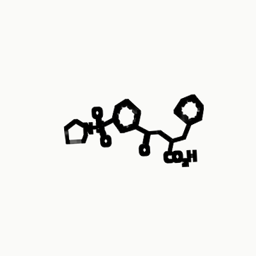 O=C(CC(Cc1ccccc1)C(=O)O)c1cccc(S(=O)(=O)N2CCCC2)c1